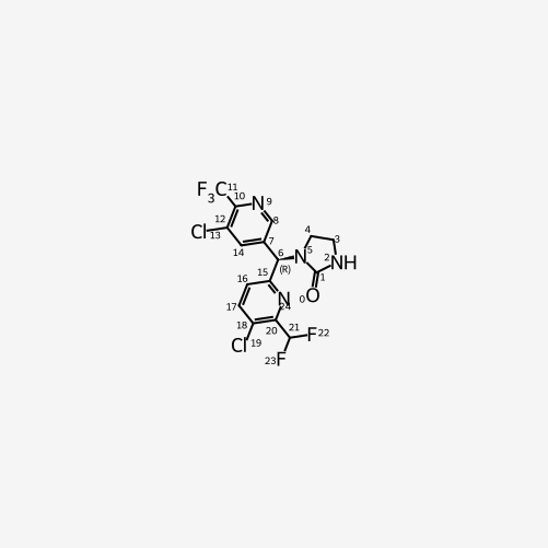 O=C1NCCN1[C@H](c1cnc(C(F)(F)F)c(Cl)c1)c1ccc(Cl)c(C(F)F)n1